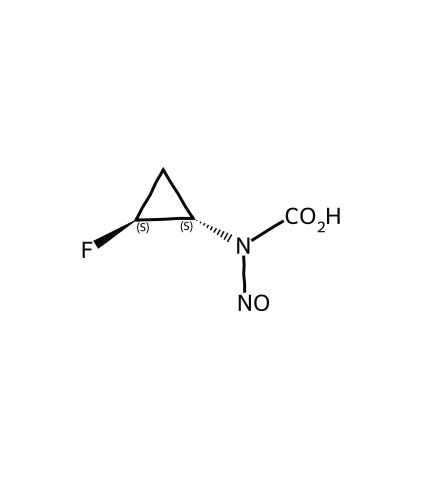 O=NN(C(=O)O)[C@H]1C[C@@H]1F